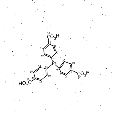 O=C(O)c1ccc(P(c2ccc(C(=O)O)cc2)c2ccc(C(=O)O)cc2)cc1